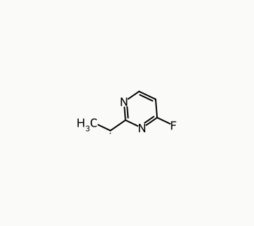 C[CH]c1nccc(F)n1